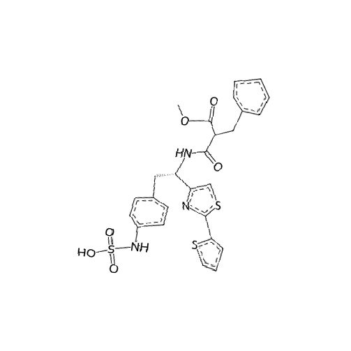 COC(=O)C(Cc1ccccc1)C(=O)N[C@@H](Cc1ccc(NS(=O)(=O)O)cc1)c1csc(-c2cccs2)n1